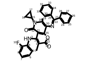 Cc1c(Nc2ccccc2F)c2c(=O)n(C3CC3)c(C)c(N=C(c3ccccc3)c3ccccc3)c2oc1=O